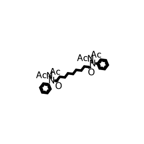 CC(=O)N(C(C)=O)N(C(=O)CCCCCCCC(=O)N(c1ccccc1)N(C(C)=O)C(C)=O)c1ccccc1